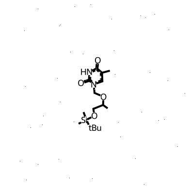 Cc1cn(COC(C)CO[Si](C)(C)C(C)(C)C)c(=O)[nH]c1=O